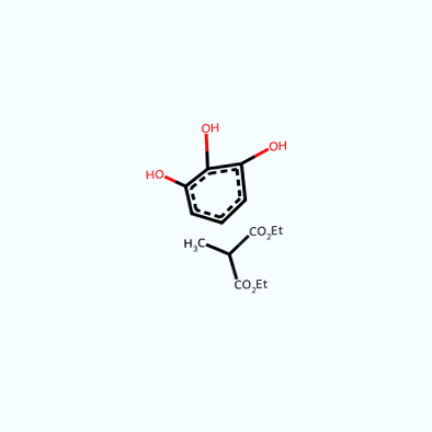 CCOC(=O)C(C)C(=O)OCC.Oc1cccc(O)c1O